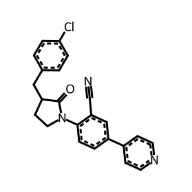 N#Cc1cc(-c2ccncc2)ccc1N1CCC(Cc2ccc(Cl)cc2)C1=O